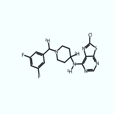 [2H]C(c1cc(F)cc(F)c1)N1CCC([2H])(N([2H])c2ncnc3sc(Cl)nc23)CC1